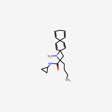 CCCCC1(C(=O)NC2CC2)CC2(C=CC3(C=CCC=C3)C=C2)N1C